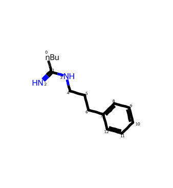 CCCCC(=N)NCCCc1ccccc1